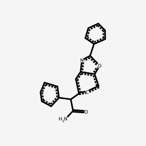 NC(=O)C(c1ccccc1)c1ccc2oc(-c3ccccc3)nc2c1